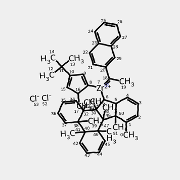 CC1=CC=CC2[CH](/[Zr+2]([C]3=CC(C(C)(C)C)=CC3C)=[C](\C)c3ccc4ccccc4c3)C3(C)C4(C)C=CC=CC4(C)C4(C)C=CC=CC4(C)C3(C)C12C.[Cl-].[Cl-]